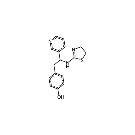 Oc1ccc(CC(NC2=NCCS2)c2cccnc2)cc1